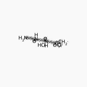 Cl.[CH2]c1ccccc1OC(=O)CCCCCNC(=O)CCCCCNC(=O)CCCCCN